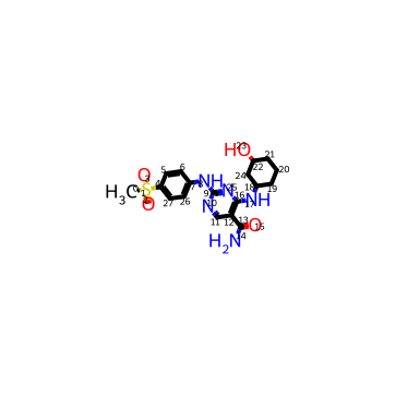 CS(=O)(=O)c1ccc(Nc2ncc(C(N)=O)c(NC3CCCC(O)C3)n2)cc1